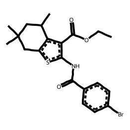 CCOC(=O)c1c(NC(=O)c2ccc(Br)cc2)sc2c1C(C)CC(C)(C)C2